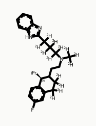 [2H]C([2H])([2H])N(CC[C]1[C@H](C(C)C)c2ccc(F)cc2C([2H])([2H])C1([2H])[2H])C([2H])([2H])C([2H])([2H])C([2H])([2H])c1nc2ccccc2[nH]1